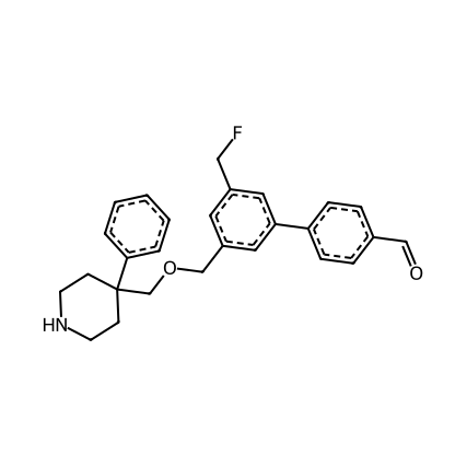 O=Cc1ccc(-c2cc(CF)cc(COCC3(c4ccccc4)CCNCC3)c2)cc1